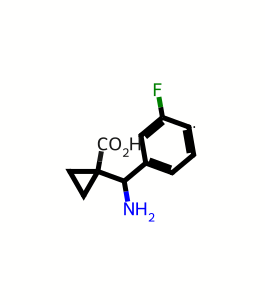 NC(c1cc[c]c(F)c1)C1(C(=O)O)CC1